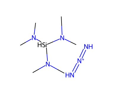 CN(C)[SiH](N(C)C)N(C)C.N=[N+]=N